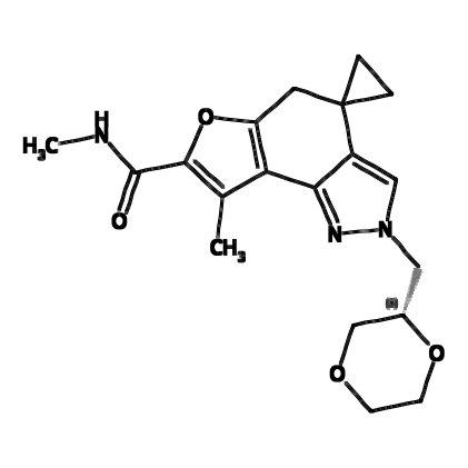 CNC(=O)c1oc2c(c1C)-c1nn(C[C@H]3COCCO3)cc1C1(CC1)C2